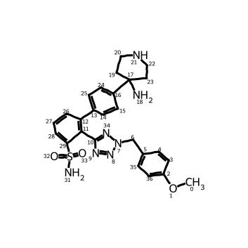 COc1ccc(Cn2nnc(-c3c(-c4ccc(C5(N)CCNCC5)cc4)cccc3S(N)(=O)=O)n2)cc1